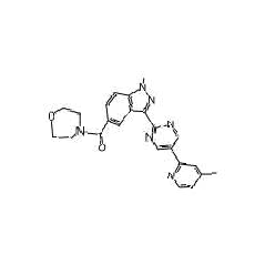 Cc1ccnc(-c2cnc(-c3nn(C)c4ccc(C(=O)N5CCOCC5)cc34)nc2)c1